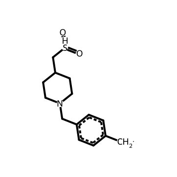 [CH2]c1ccc(CN2CCC(C[SH](=O)=O)CC2)cc1